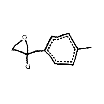 Cc1ccc(C2(Cl)CO2)cc1